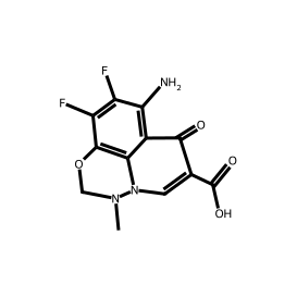 CN1COc2c(F)c(F)c(N)c3c(=O)c(C(=O)O)cn1c23